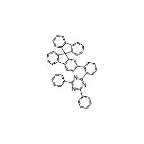 c1ccc(-c2nc(-c3ccccc3)nc(-c3ccccc3-c3ccc4c(c3)C3(c5ccccc5-c5ccccc53)c3ccccc3-4)n2)cc1